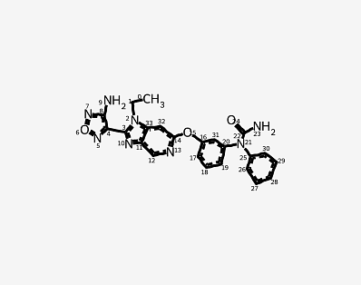 CCn1c(-c2nonc2N)nc2cnc(Oc3cccc(N(C(N)=O)c4ccccc4)c3)cc21